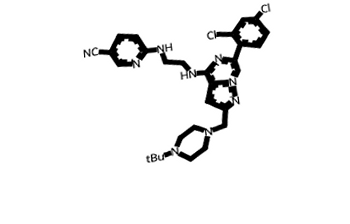 CC(C)(C)N1CCN(Cc2cc3c(NCCNc4ccc(C#N)cn4)nc(-c4ccc(Cl)cc4Cl)cn3n2)CC1